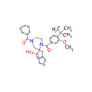 COc1cc(C(=O)N2CCN(C(=O)c3ccccc3)CC2(Cc2cscn2)C(=O)O)ccc1C(C)(C)C